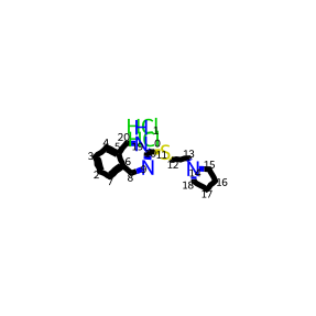 Cl.Cl.c1ccc2c(c1)CN=C(SCCN1CCCC1)NC2